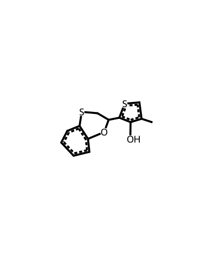 Cc1csc(C2CSc3ccccc3O2)c1O